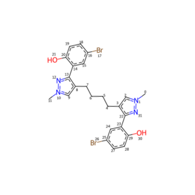 Cn1cc(CCCCc2cn(C)nc2-c2cc(Br)ccc2O)c(-c2cc(Br)ccc2O)n1